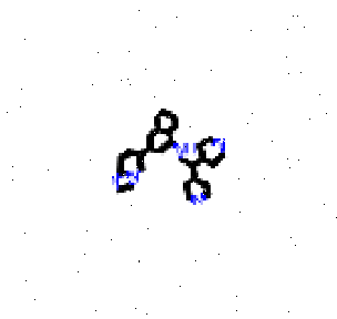 c1ccc2c(NCC(c3ccncc3)c3ccncc3)cc(-c3ccc4nccn4c3)cc2c1